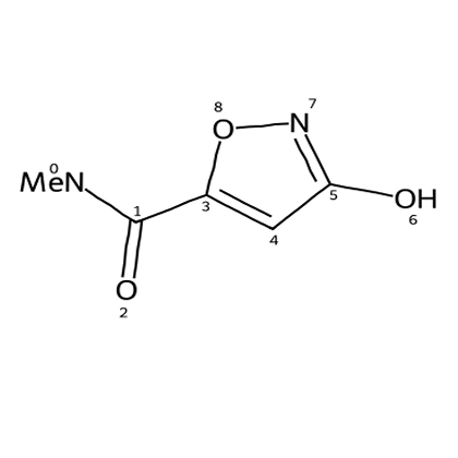 CNC(=O)c1cc(O)no1